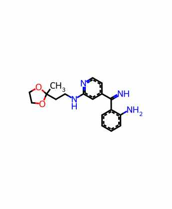 CC1(CCNc2cc(C(=N)c3ccccc3N)ccn2)OCCO1